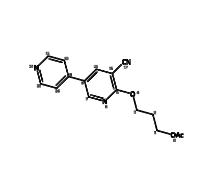 CC(=O)OCCCOc1ncc(-c2ccncc2)cc1C#N